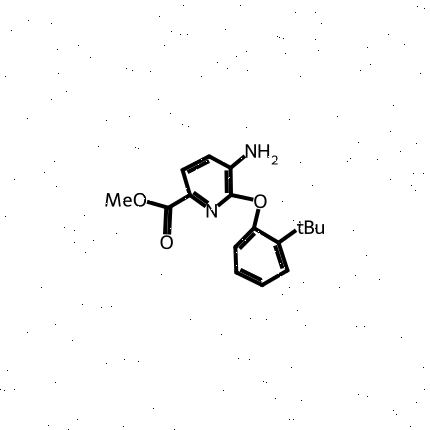 COC(=O)c1ccc(N)c(Oc2ccccc2C(C)(C)C)n1